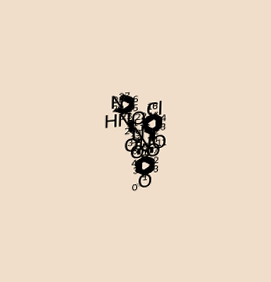 COc1ccc(S(=O)(=O)n2c(=O)c3ccc(Cl)cc3n(CC(=O)Nc3cccnc3)c2=O)cc1